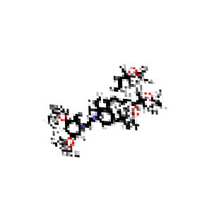 C=C1/C(=C\C=C2/CCC[C@@]3(C)[C@@H]2CC[C@@H]3[C@H](CCCC(C)(C)O[Si](C)(C)C)CC[C@@H](O[Si](C)(C)C(C)(C)C(C)C)C(C)(C)O[Si](C)(C)C)C[C@@H](O[Si](C)(C)C(C)(C)C)C[C@@H]1O[Si](C)(C)C(C)(C)C